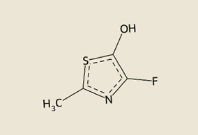 Cc1nc(F)c(O)s1